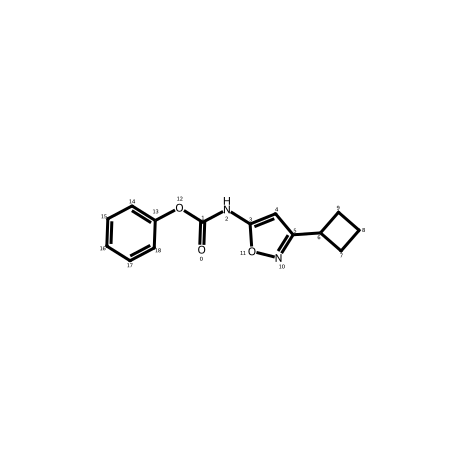 O=C(Nc1cc(C2CCC2)no1)Oc1ccccc1